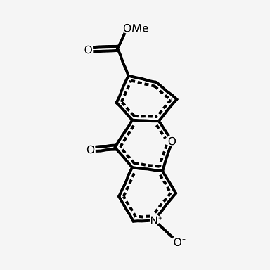 COC(=O)c1ccc2oc3c[n+]([O-])ccc3c(=O)c2c1